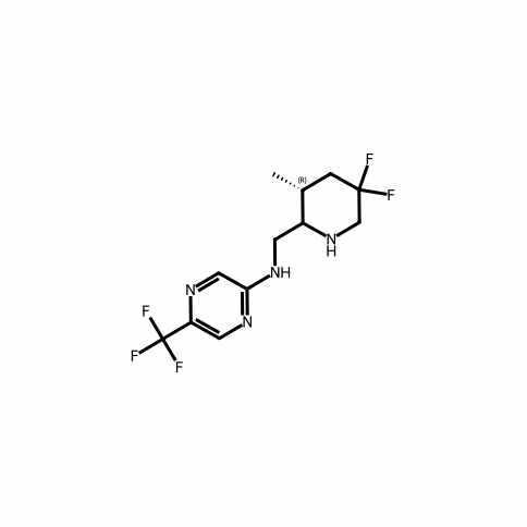 C[C@@H]1CC(F)(F)CNC1CNc1cnc(C(F)(F)F)cn1